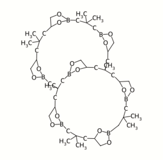 CC1(C)CB2OCC(CC(C)(C)CB3OCC(CC4(C)CB5OCC(CC(C)(C)CC6COB(CC(C)(C)CB7OCC(CC(C)(CC8COB(C1)O8)CC1COB(C4)O1)O7)O6)O5)O3)O2